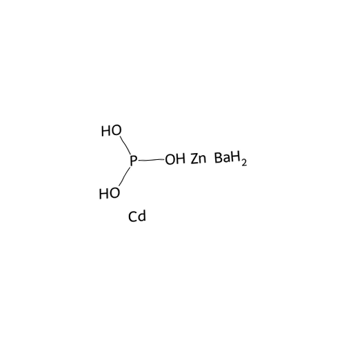 OP(O)O.[BaH2].[Cd].[Zn]